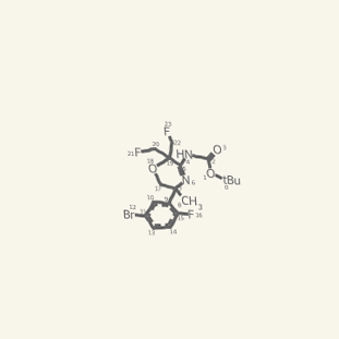 CC(C)(C)OC(=O)NC1=NC(C)(c2cc(Br)ccc2F)COC1(CF)CF